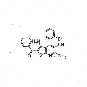 N#Cc1c(N)nc2sc(C(=O)c3ccccc3)c(N)c2c1-c1ccccc1Br